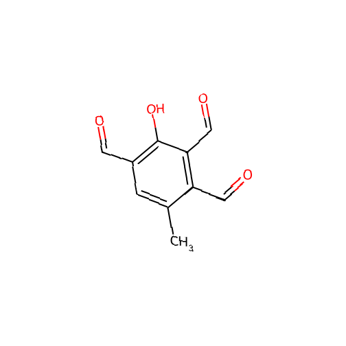 Cc1cc(C=O)c(O)c(C=O)c1C=O